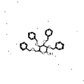 OC1OC(COCc2ccccc2)C(OCc2ccccc2)C(OCc2ccccc2)C1OCc1ccccc1